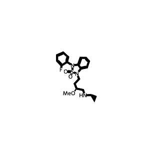 CO[C@@H](CCN1c2ccccc2N(c2ccccc2F)S1(=O)=O)CNC1CC1